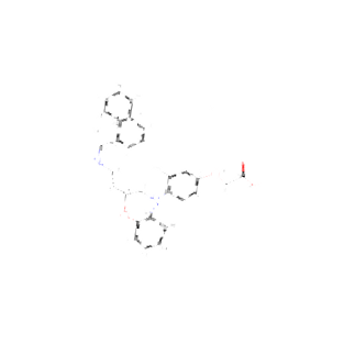 Cc1cc(OCC(=O)O)ccc1N1CC(CCN[C@H](C)c2cccc3ccccc23)Oc2ccccc21.Cl